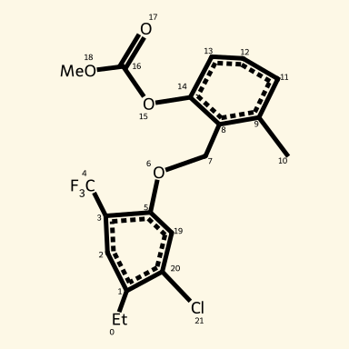 CCc1cc(C(F)(F)F)c(OCc2c(C)cccc2OC(=O)OC)cc1Cl